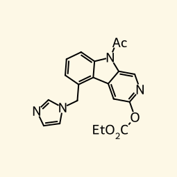 CCOC(=O)Oc1cc2c3c(Cn4ccnc4)cccc3n(C(C)=O)c2cn1